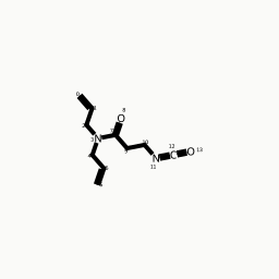 C=CCN(CC=C)C(=O)CCN=C=O